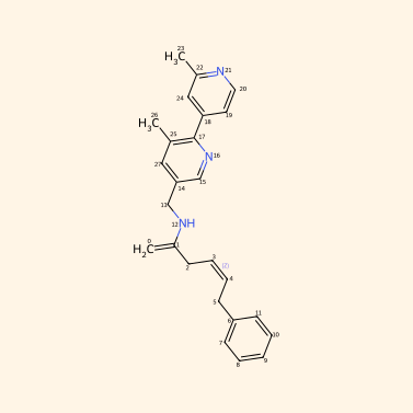 C=C(C/C=C\Cc1ccccc1)NCc1cnc(-c2ccnc(C)c2)c(C)c1